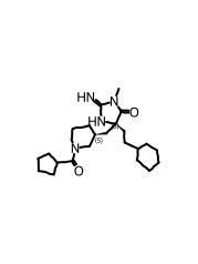 CN1C(=N)N[C@@](CCC2CCCCC2)(C[C@@H]2CCCN(C(=O)C3CCCC3)C2)C1=O